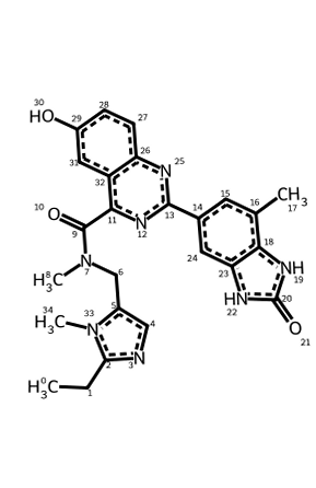 CCc1ncc(CN(C)C(=O)c2nc(-c3cc(C)c4[nH]c(=O)[nH]c4c3)nc3ccc(O)cc23)n1C